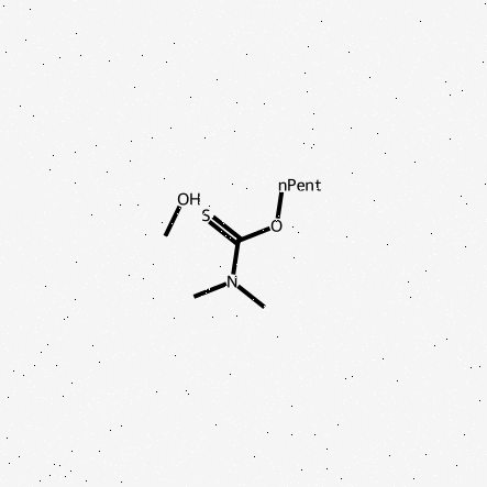 CCCCCOC(=S)N(C)C.CO